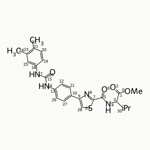 COC(=O)C(NC(=O)c1nc(-c2ccc(NC(=O)Nc3ccc(C)c(C)c3)cc2)cs1)C(C)C